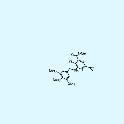 COC(=O)c1nc(C2CC2)nc(NCc2cc(OC)c(OC)c(OC)c2)c1Cl